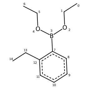 CCOB(OCC)c1ccccc1CC